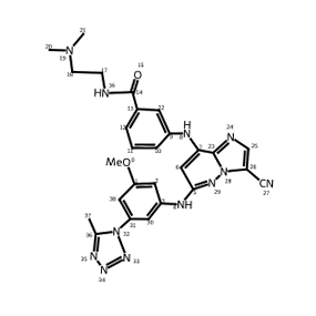 COc1cc(Nc2cc(Nc3cccc(C(=O)NCCN(C)C)c3)c3ncc(C#N)n3n2)cc(-n2nnnc2C)c1